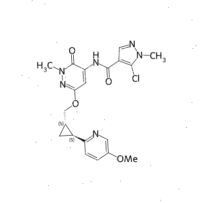 COc1ccc([C@H]2C[C@@H]2COc2cc(NC(=O)c3cnn(C)c3Cl)c(=O)n(C)n2)nc1